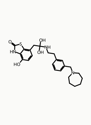 O=c1[nH]c2c(O)ccc(CC(O)(O)NCCc3cccc(CN4CCCCCC4)c3)c2s1